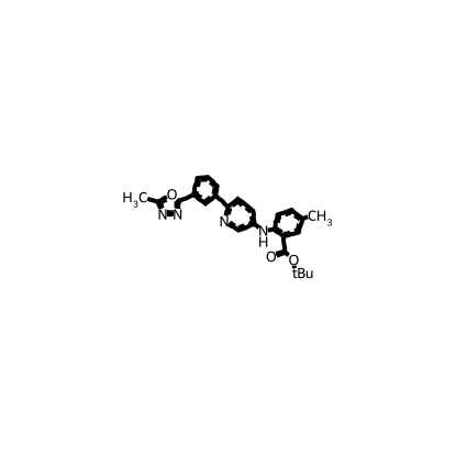 Cc1ccc(Nc2ccc(-c3cccc(-c4nnc(C)o4)c3)nc2)c(C(=O)OC(C)(C)C)c1